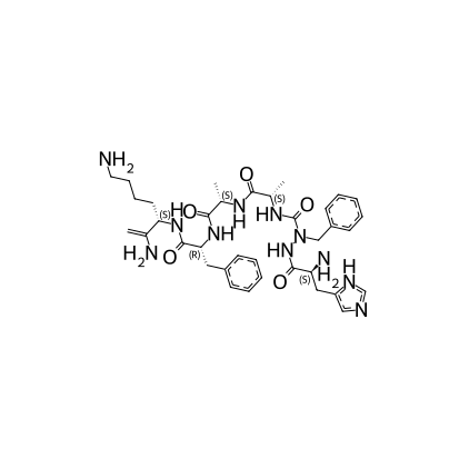 C=C(N)[C@H](CCCCN)NC(=O)[C@@H](Cc1ccccc1)NC(=O)[C@H](C)NC(=O)[C@H](C)NC(=O)N(Cc1ccccc1)NC(=O)[C@@H](N)Cc1cnc[nH]1